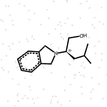 CC(C)C[C@H](CO)N1Cc2ccccc2C1